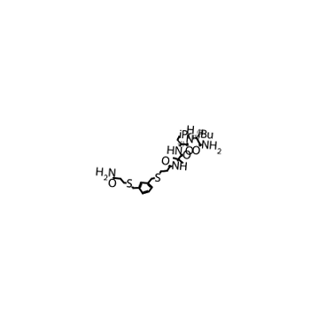 CC[C@H](C)[C@H](NC(=O)[C@H](CC(C)C)NC(=O)C(C)(C)NC(=O)CCSCc1cccc(CSCCC(N)=O)c1)C(N)=O